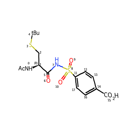 CC(=O)N[C@@H](CSC(C)(C)C)C(=O)NS(=O)(=O)c1ccc(C(=O)O)cc1